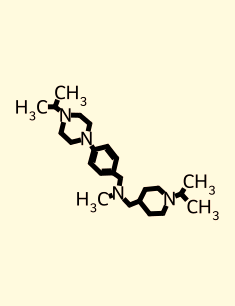 CC(C)N1CCC(CN(C)Cc2ccc(N3CCN(C(C)C)CC3)cc2)CC1